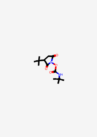 CC(C)(C)NC(=O)ON1C(=O)CC(C(C)(C)C)C1=O